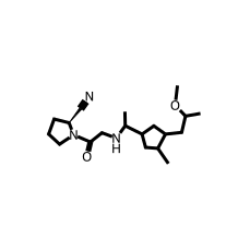 COC(C)CC1CC(C(C)NCC(=O)N2CCC[C@H]2C#N)CC1C